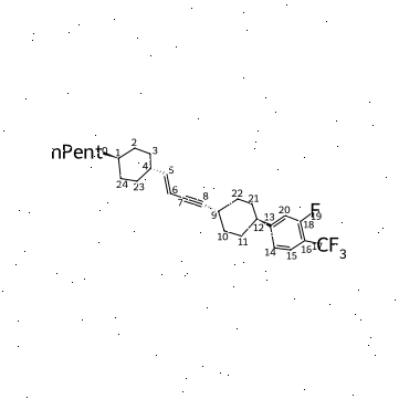 CCCCC[C@H]1CC[C@H](C=CC#C[C@H]2CC[C@H](c3ccc(C(F)(F)F)c(F)c3)CC2)CC1